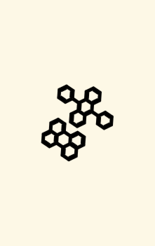 c1cc2cccc3c4cccc5cccc(c(c1)c23)c54.c1ccc(-c2c3ccccc3c(-c3ccccc3)c3ccccc23)cc1